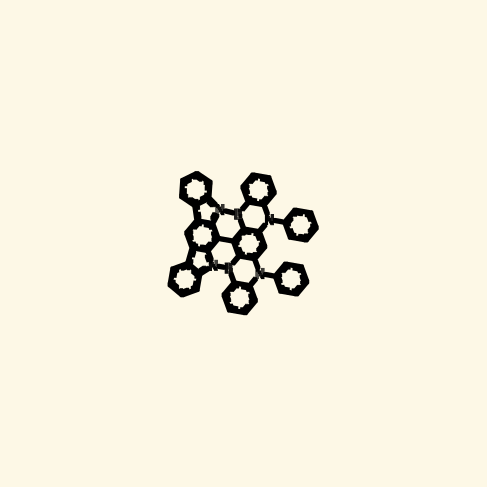 c1ccc(N2c3ccccc3B3c4c2cc2c5c4-c4c6c(cc7c8ccccc8n(c47)B5c4ccccc4N2c2ccccc2)c2ccccc2n63)cc1